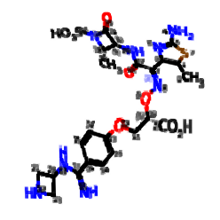 Cc1sc(N)nc1/C(=N/O[C@@H](COc1ccc(C(=N)NC2CNC2)cc1)C(=O)O)C(=O)N[C@@H]1C(=O)N(S(=O)(=O)O)[C@H]1C